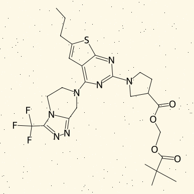 CCCc1cc2c(N3CCn4c(nnc4C(F)(F)F)C3)nc(N3CCC(C(=O)OCOC(=O)C(C)(C)C)C3)nc2s1